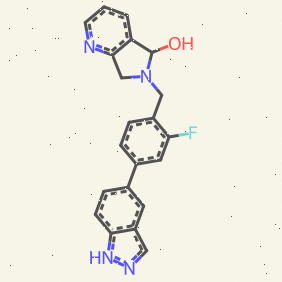 OC1c2cccnc2CN1Cc1ccc(-c2ccc3[nH]ncc3c2)cc1F